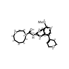 COc1ncc(C2=CCOCC2)c2sc(NC(=O)N3CCCCCOCC3)nc12